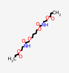 C=CC(=O)OCCNC(=O)COCCCCOC(=O)NCCOC(=O)C=C